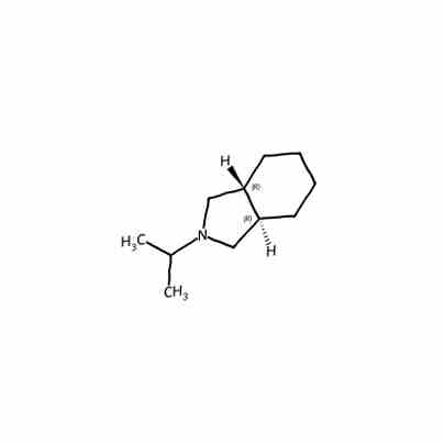 CC(C)N1C[C@@H]2CCCC[C@H]2C1